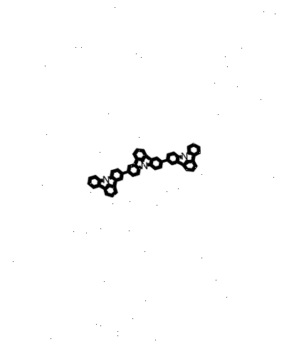 c1ccc2c(c1)c1cccc3c4cc(-c5ccc6c(c5)c5cccc7c8cc(-c9ccc%10c(c9)c9cccc%11c%12ccccc%12n%10c%119)ccc8n6c57)ccc4n2c13